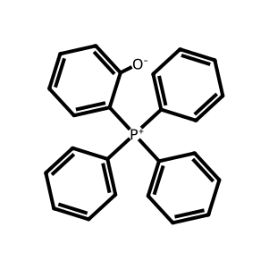 [O-]c1ccccc1[P+](c1ccccc1)(c1ccccc1)c1ccccc1